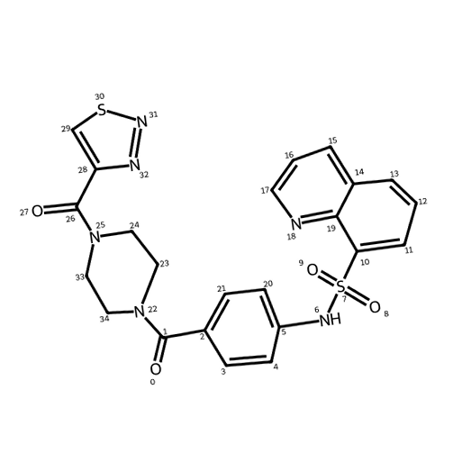 O=C(c1ccc(NS(=O)(=O)c2cccc3cccnc23)cc1)N1CCN(C(=O)c2csnn2)CC1